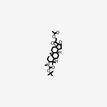 CC(=O)OCC(=O)C12OC1C[C@@]1(C)[C@@H]3CC[C@H]4C(C)(C)[C@@H](N(C)C(=O)OC(C)(C)C)CC[C@@]45C[C@@]35CC[C@]21C